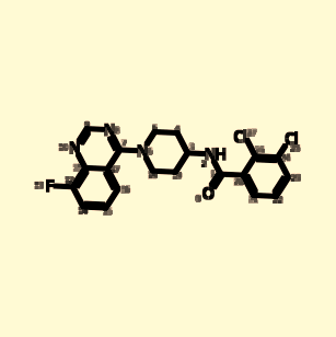 O=C(NC1CCN(c2ncnc3c(F)cccc23)CC1)c1cccc(Cl)c1Cl